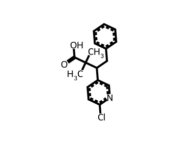 CC(C)(C(=O)O)C(Cc1ccccc1)c1ccc(Cl)nc1